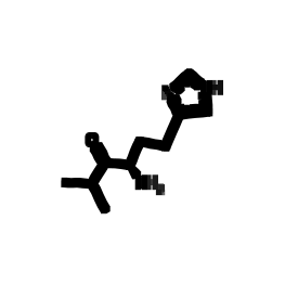 CC(C)C(=O)[C@H](N)CCc1c[nH]cn1